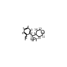 CC(C)C(c1ccccc1F)C1CCOCC1